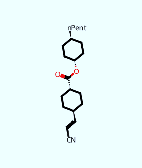 CCCCC[C@H]1CC[C@H](OC(=O)[C@H]2CC[C@H](C=CC#N)CC2)CC1